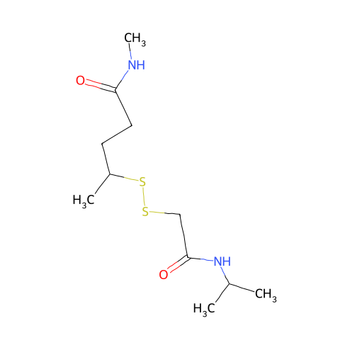 CNC(=O)CCC(C)SSCC(=O)NC(C)C